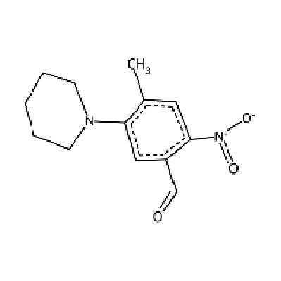 Cc1cc([N+](=O)[O-])c(C=O)cc1N1CCCCC1